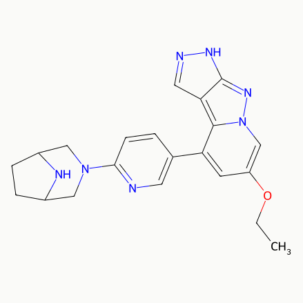 CCOc1cc(-c2ccc(N3CC4CCC(C3)N4)nc2)c2c3cn[nH]c3nn2c1